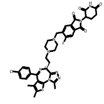 Cc1sc2c(c1C)C(c1ccc(Cl)cc1)=N[C@@H](CCN1CCN(Cc3cc4c(cc3F)C(=O)N(C3CCC(=O)NC3=O)C4=O)CC1)c1nnc(C)n1-2